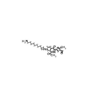 CC(=O)Nc1cc(NCCCCCCCCCCN)ccc1C(=O)Nc1nc(C)c(N=O)s1